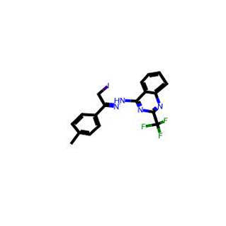 Cc1ccc(C(CI)=NNc2nc(C(F)(F)F)nc3ccccc23)cc1